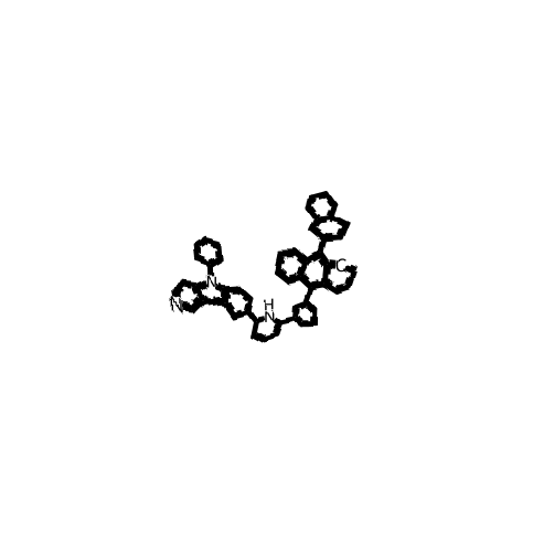 C1=CC(c2ccc3c(c2)c2cnccc2n3-c2ccccc2)NC(c2cccc(-c3c4ccccc4c(-c4ccc5ccccc5c4)c4ccccc34)c2)=C1